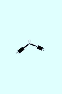 [C-]#[N+]NC#N